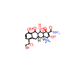 CN(C)[C@@H]1C(O)=C(C(N)=O)C(=O)[C@@]2(O)C(O)C3C(=O)c4c(O)ccc(C(=O)CBr)c4C[C@H]3C[C@@H]12